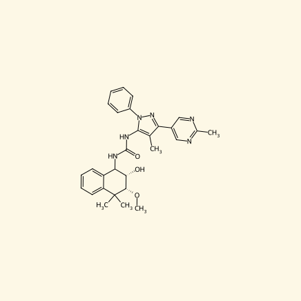 CO[C@H]1[C@@H](O)C(NC(=O)Nc2c(C)c(-c3cnc(C)nc3)nn2-c2ccccc2)c2ccccc2C1(C)C